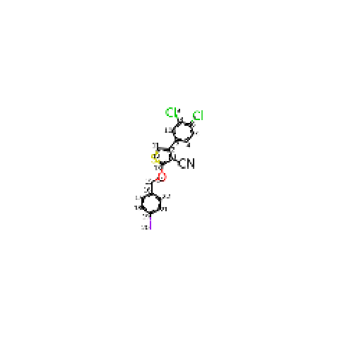 N#Cc1c(-c2ccc(Cl)c(Cl)c2)csc1OCc1ccc(I)cc1